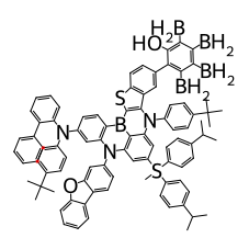 Bc1c(B)c(B)c(-c2ccc3sc4c(c3c2)N(c2ccc(C(C)(C)C)cc2)c2cc(S(C)(c3ccc(C(C)C)cc3)c3ccc(C(C)C)cc3)cc3c2B4c2ccc(N(c4ccc(C(C)(C)C)cc4)c4ccccc4-c4ccccc4)cc2N3c2ccc3c(c2)oc2ccccc23)c(O)c1B